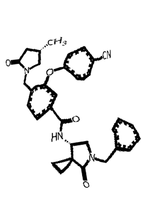 C[C@H]1CC(=O)N(Cc2ccc(C(=O)N[C@@H]3CN(Cc4ccccc4)C(=O)C34CC4)cc2Oc2ccc(C#N)cc2)C1